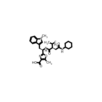 Cc1oc([C@@H](Cc2cn(C)c3ccccc23)NC(=O)[C@H](CC(=O)NC2CCCCC2)C(C)C)nc1C(=O)O